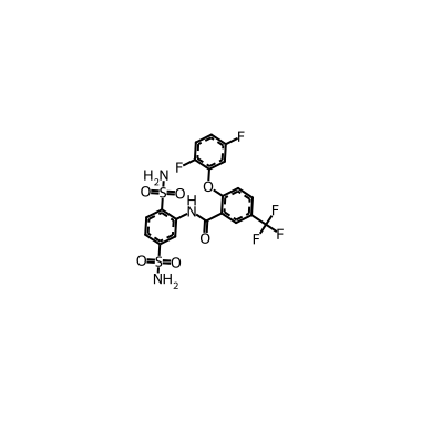 NS(=O)(=O)c1ccc(S(N)(=O)=O)c(NC(=O)c2cc(C(F)(F)F)ccc2Oc2cc(F)ccc2F)c1